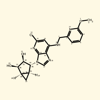 COc1cccc(CNc2cc(Cl)nc3c2ncn3[C@H]2[C@H](O)[C@H](O)[C@@H]3C[C@@H]32)n1